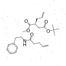 C=CCCC(=O)N[C@@H](COC(=O)[C@@H](CC=C)CC(=O)OC(C)(C)C)Cc1ccccc1